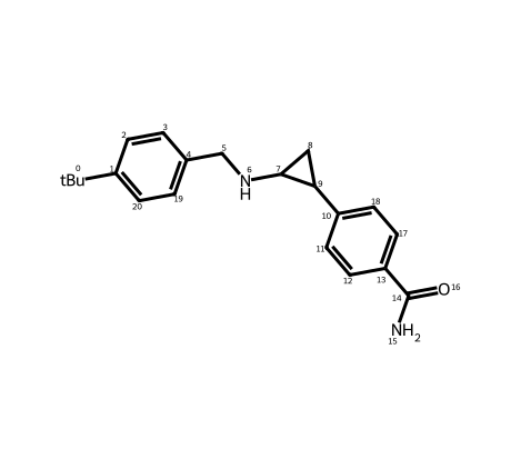 CC(C)(C)c1ccc(CNC2CC2c2ccc(C(N)=O)cc2)cc1